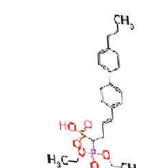 CCCc1ccc(-c2ccc(/C=C/CC(P(=O)(OCC)OCC)S(=O)(=O)O)cc2)cc1